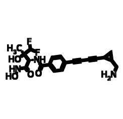 C[C@@](O)(C(F)F)[C@H](NC(=O)c1ccc(C#CC#CC2CC2CN)cc1)C(=O)NO